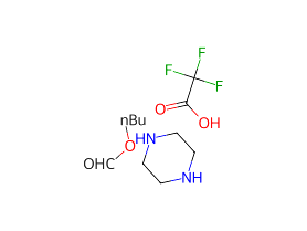 C1CNCCN1.CCCCOC=O.O=C(O)C(F)(F)F